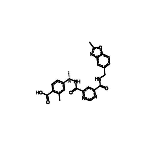 Cc1nc2cc(CNC(=O)c3cc(C(=O)N[C@@H](C)c4ccc(C(=O)O)c(C)c4)ncn3)ccc2o1